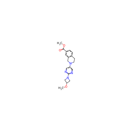 COC(=O)c1ccc2c(c1)CN(c1cnc(N3CC(OC)C3)nc1)CC2